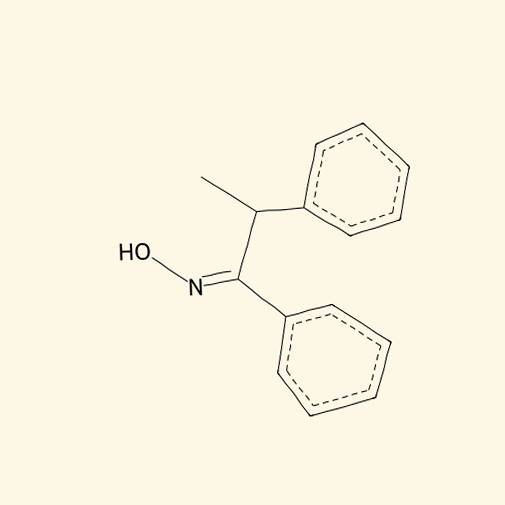 CC(C(=NO)c1ccccc1)c1ccccc1